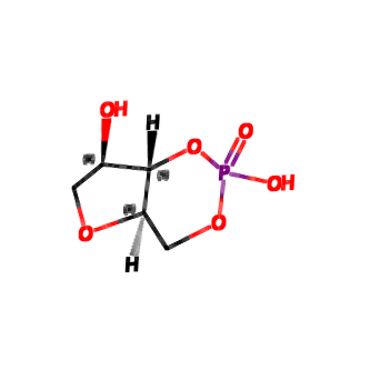 O=P1(O)OC[C@H]2OC[C@@H](O)[C@@H]2O1